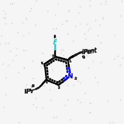 CCCC(C)c1ncc(C(C)C)cc1F